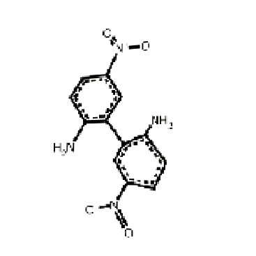 Nc1ccc([N+](=O)[O-])cc1-c1cc([N+](=O)[O-])ccc1N